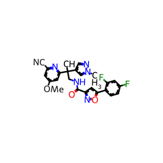 COc1cc(C#N)nc(C(C)(CNC(=O)c2cc(-c3ccc(F)cc3F)on2)c2cnn(C)c2)c1